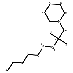 CCCCCSSC(C)(C)CN1CCCCC1